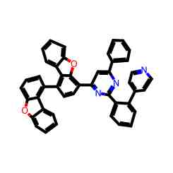 c1ccc(-c2cc(-c3ccc(-c4cccc5oc6ccccc6c45)c4c3oc3ccccc34)nc(-c3ccccc3-c3ccncc3)n2)cc1